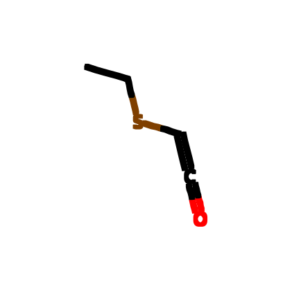 CCSC=C=O